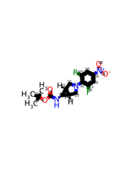 CC(C)(C)OC(=O)N[C@H]1[C@@H]2CN(c3c(F)cc([N+](=O)[O-])cc3F)C[C@@H]21